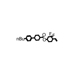 C=CC1CCC(OC(=O)C2CCC(c3ccc(CCCC)cc3)CC2)CC1(F)F